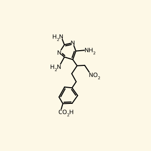 Nc1nc(N)c(C(CCc2ccc(C(=O)O)cc2)C[N+](=O)[O-])c(N)n1